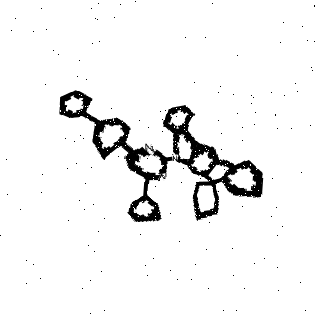 c1ccc(-c2ccc(-c3cc(-c4ccccc4)nc(-n4c5ccccc5c5cc6c(cc54)C4(CCCCC4)c4ccccc4-6)n3)cc2)cc1